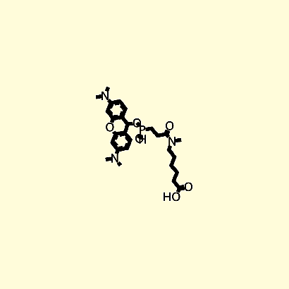 CN(CCCCCC(=O)O)C(=O)CC[PH](=O)OC1c2ccc(N(C)C)cc2Oc2cc(N(C)C)ccc21